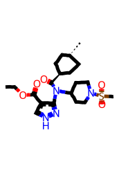 CCOC(=O)c1c[nH]nc1N(C(=O)[C@H]1CC[C@H](C)CC1)C1CCN(S(C)(=O)=O)CC1